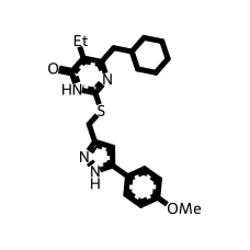 CCc1c(CC2CCCCC2)nc(SCc2cc(-c3ccc(OC)cc3)[nH]n2)[nH]c1=O